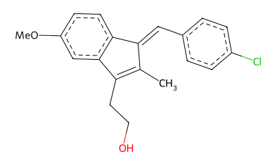 COc1ccc2c(c1)C(CCO)=C(C)C2=Cc1ccc(Cl)cc1